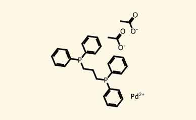 CC(=O)[O-].CC(=O)[O-].[Pd+2].c1ccc(P(CCCP(c2ccccc2)c2ccccc2)c2ccccc2)cc1